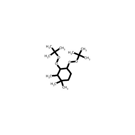 CC1C(OOC(C)(C)C)C(OOC(C)(C)C)CCC1(C)C